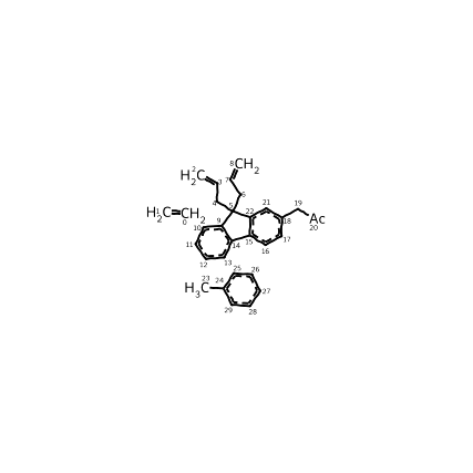 C=C.C=CCC1(CC=C)c2ccccc2-c2ccc(CC(C)=O)cc21.Cc1ccccc1